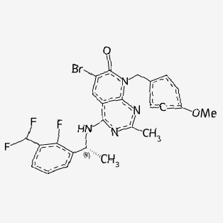 COc1ccc(Cn2c(=O)c(Br)cc3c(N[C@H](C)c4cccc(C(F)F)c4F)nc(C)nc32)cc1